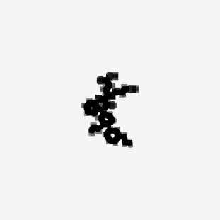 CCC[C@H]1CCC[C@H](N2CC[C@H](n3c(=O)c(/C(CCC(=O)O)=N/OCCO)nc4ccccc43)C[C@@H]2CCC)C1